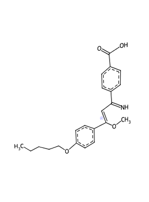 CCCCCOc1ccc(/C(=C/C(=N)c2ccc(C(=O)O)cc2)OC)cc1